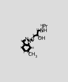 Cc1ccc2cnn(OCC(O)CNC(C)C)c2c1